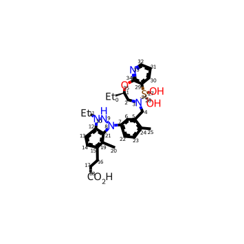 CC[C@@H]1CN(Cc2cc(N3NN(CC)c4ccc(CCC(=O)O)c(C)c43)ccc2C)S(O)(O)c2cccnc2O1